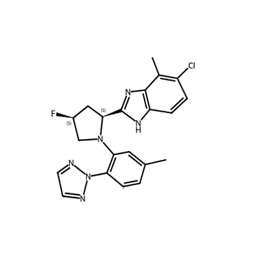 Cc1c[c]c(-n2nccn2)c(N2C[C@@H](F)C[C@H]2c2nc3c(C)c(Cl)ccc3[nH]2)c1